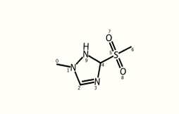 CN1C=NC(S(C)(=O)=O)N1